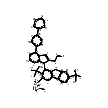 CCCC1=Cc2c(-c3ccc(-c4ccccc4)cc3)cccc2C1c1c2c(c[c]([Zr][SiH](C)C)c1C(C)(C)C)-c1ccc(C(C)(C)C)cc1C2